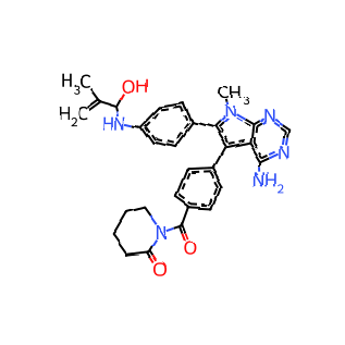 C=C(C)C(O)Nc1ccc(-c2c(-c3ccc(C(=O)N4CCCCC4=O)cc3)c3c(N)ncnc3n2C)cc1